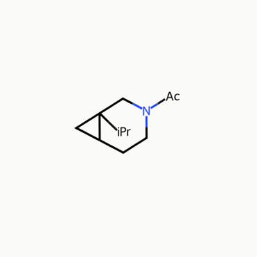 CC(=O)N1CCC2CC2(C(C)C)C1